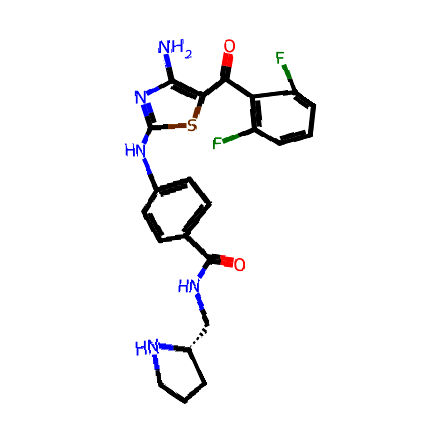 Nc1nc(Nc2ccc(C(=O)NC[C@@H]3CCCN3)cc2)sc1C(=O)c1c(F)cccc1F